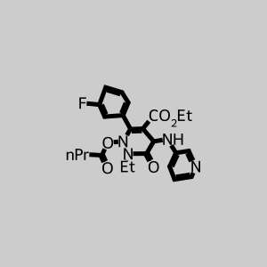 CCCC(=O)ON1C(c2cccc(F)c2)=C(C(=O)OCC)C(Nc2cccnc2)C(=O)N1CC